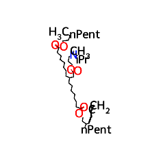 C=C=C=C=CC(CCCCC)CCOC(=O)CCCCCCCC(CCCCCCCC(=O)OCCC(C)CCCCC)CC(=O)OCCCN(C)C(C)C